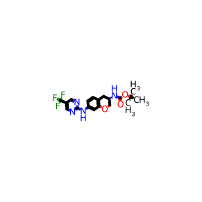 CC(C)(C)OC(=O)N[C@H]1COc2cc(Nc3ncc(C(F)(F)F)cn3)ccc2C1